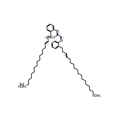 CCCCCCCCCCCCCCCCCCCCCCC/C=C/CCc1ccccc1/N=C\C(CCCCC)=N\c1ccccc1CC/C=C/CCCCCCCCCCCCCCCCCCCCCCC.[Pd]